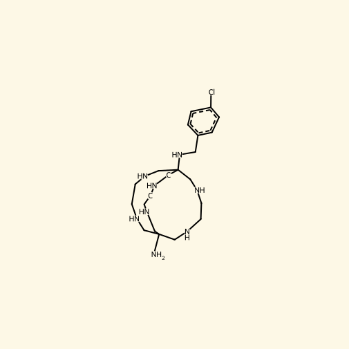 NC12CNCCNCC(NCc3ccc(Cl)cc3)(CNCCNC1)CNCCNC2